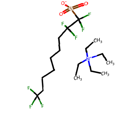 CC[N+](CC)(CC)CC.O=S(=O)([O-])C(F)(F)C(F)(F)CCCCCCC(F)(F)F